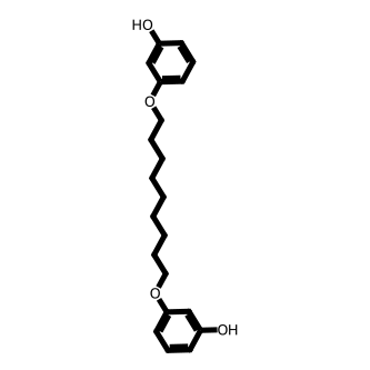 Oc1cccc(OCCCCCCCCCOc2cccc(O)c2)c1